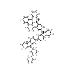 c1ccc(-c2cccc(-n3c4ccccc4c4ccc(-c5ccc6c7ccccc7n(-c7ccc(-c8nc9ccccc9c9c%10ccccc%10c%10ccccc%10c89)cc7)c6c5)cc43)c2)cc1